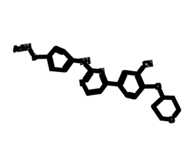 CC(=O)NSc1ccc(Nc2nccc(-c3ccc(OC4CCOCC4)c(C#N)c3)n2)cc1